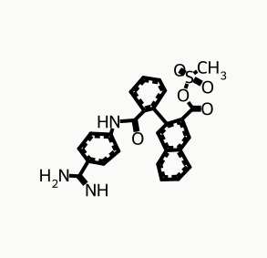 CS(=O)(=O)OC(=O)c1cc2ccccc2cc1-c1ccccc1C(=O)Nc1ccc(C(=N)N)cc1